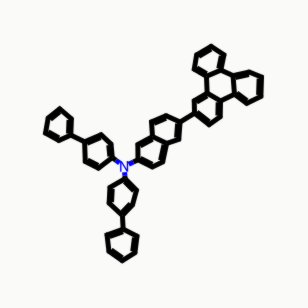 c1ccc(-c2ccc(N(c3ccc(-c4ccccc4)cc3)c3ccc4cc(-c5ccc6c7ccccc7c7ccccc7c6c5)ccc4c3)cc2)cc1